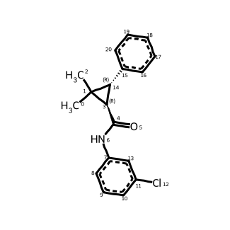 CC1(C)[C@H](C(=O)Nc2cccc(Cl)c2)[C@H]1c1ccccc1